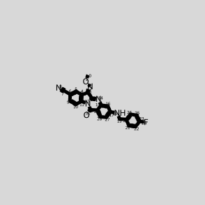 CO/N=C1\c2cc(C#N)ccc2-n2c1nc1cc(NCc3ccc(F)cc3)ccc1c2=O